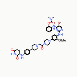 COc1cc(N2CCN(C(=O)CN3CCC(c4ccc(NC5CCC(=O)NC5=O)cc4)CC3)CC2)ccc1Nc1ncc(Br)c(Nc2ccccc2OC(=O)N(C)C)n1